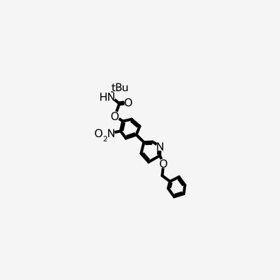 CC(C)(C)NC(=O)Oc1ccc(-c2ccc(OCc3ccccc3)nc2)cc1[N+](=O)[O-]